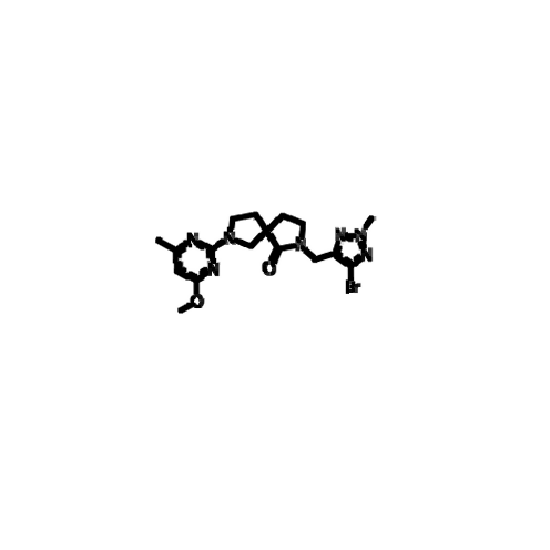 COc1cc(C)nc(N2CCC3(CCN(Cc4nn(C)nc4Br)C3=O)C2)n1